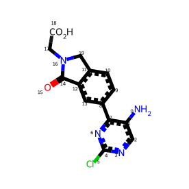 Nc1cnc(Cl)nc1-c1ccc2c(c1)C(=O)N(CC(=O)O)C2